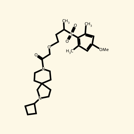 COc1cc(C)c(S(=O)(=O)C(C)CCOCC(=O)N2CCC3(CC2)CCN(C2CCC2)C3)c(C)c1